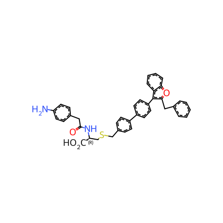 Nc1ccc(CC(=O)N[C@@H](CSCc2ccc(-c3ccc(-c4c(Cc5ccccc5)oc5ccccc45)cc3)cc2)C(=O)O)cc1